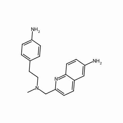 CN(CCc1ccc(N)cc1)Cc1ccc2cc(N)ccc2n1